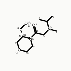 CC(C)N(C)CC(=O)N1CCOC[C@@H]1CO